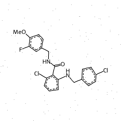 COc1ccc(CNC(=O)c2c(Cl)cccc2NCc2ccc(Cl)cc2)cc1F